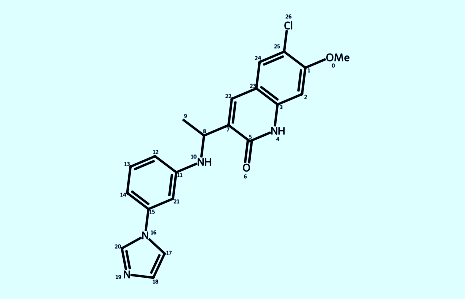 COc1cc2[nH]c(=O)c(C(C)Nc3cccc(-n4ccnc4)c3)cc2cc1Cl